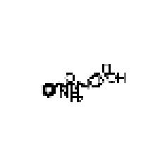 N[C@H](Cc1ccccc1)C(=O)NCCN1CCN(C(=O)O)CC1